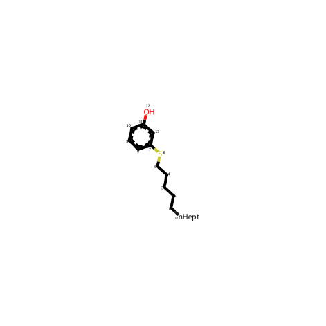 CCCCCCCCCCCCSc1cccc(O)c1